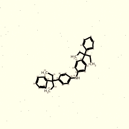 CCC(CC)(c1ccccc1)c1ccc(Nc2ccc(C(CC)(CC)c3ccccc3)cc2)cc1